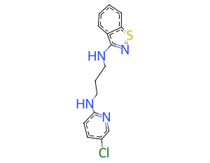 Clc1ccc(NCCCNc2nsc3ccccc23)nc1